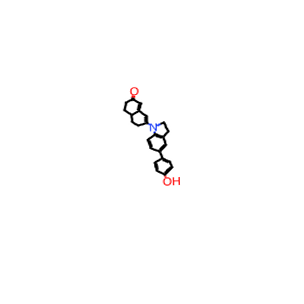 O=C1C=C2C=C(N3CCc4cc(-c5ccc(O)cc5)ccc43)CCC2CC1